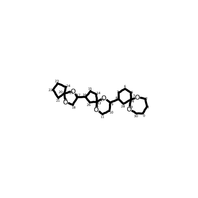 C1CCOC2(CCCC(C3CCOC4(CCC(C5COC6(CCCC6)O5)C4)O3)C2)OC1